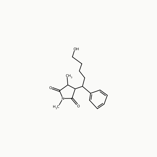 CC1C(=O)N(C)C(=O)C1C(CCCCO)c1ccccc1